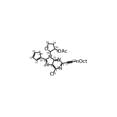 CCCCCCCCC#Cc1nc(Cl)c2nc(-c3cccs3)n(C3OCCC3OC(C)=O)c2n1